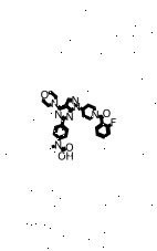 CN(C(=O)O)c1ccc(-c2nc(N3CCOCC3)c3cnn(C4CCN(C(=O)c5ccccc5F)CC4)c3n2)cc1